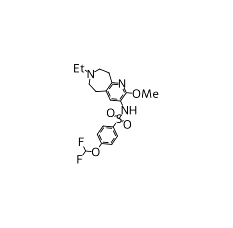 CCN1CCc2cc(NS(=O)(=O)c3ccc(OC(F)F)cc3)c(OC)nc2CC1